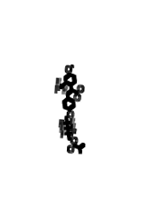 C=C(C)C(=O)OCC(F)(F)C(F)(F)C(F)(F)COc1ccc2cc(-c3ccc(OC)cc3C(F)(F)F)c(=O)oc2c1